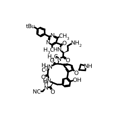 Cc1nc(-c2ccc(C(C)(C)C)cc2)nc(C)c1C(=O)N[C@@H](CCN)C(=O)N(C)[C@@H]1C(=O)N[C@@H](C)C(=O)N[C@H](C(=O)NCC#N)Cc2ccc(O)c(c2)-c2cc1ccc2OC1CNC1